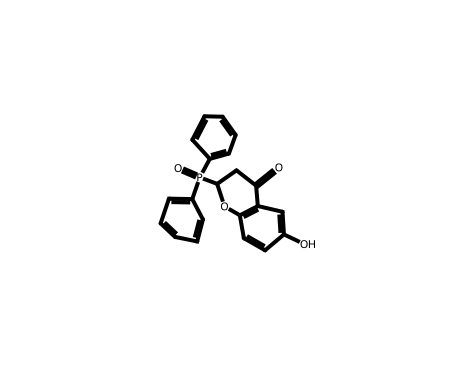 O=C1CC(P(=O)(c2ccccc2)c2ccccc2)Oc2ccc(O)cc21